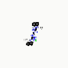 O=S(=O)(O)N(C1=NN(Cl)NC(NCCNC2=CC(N(c3cccc4ccccc34)S(=O)(=O)O)=NN(Cl)N2)=C1)c1cccc2ccccc12